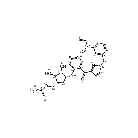 C=C[S+]([O-])c1cccc(Cn2ccc(C(=O)c3cncnc3N[C@@H]3C[C@H](COS(N)=O)[C@@H](O)[C@H]3O)n2)c1